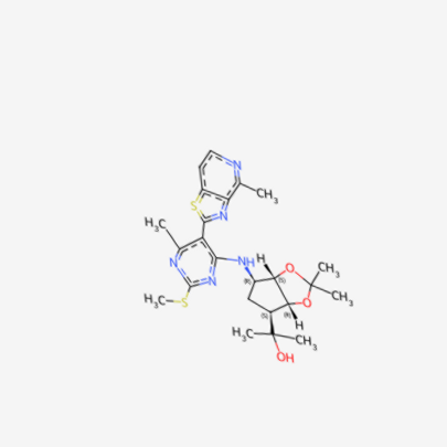 CSc1nc(C)c(-c2nc3c(C)nccc3s2)c(N[C@@H]2C[C@H](C(C)(C)O)[C@H]3OC(C)(C)O[C@H]32)n1